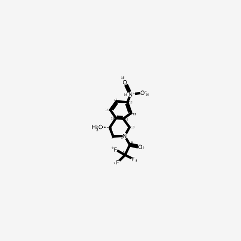 C[C@H]1CN(C(=O)C(F)(F)F)Cc2cc([N+](=O)[O-])ccc21